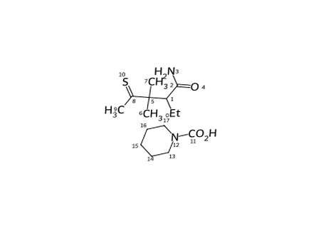 CCC(C(N)=O)C(C)(C)C(C)=S.O=C(O)N1CCCCC1